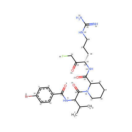 CC(C)C(NC(=O)c1ccc(Br)cc1)C(=O)N1CCCCC1C(=O)N[C@@H](CCCNC(=N)N)C(=O)CF